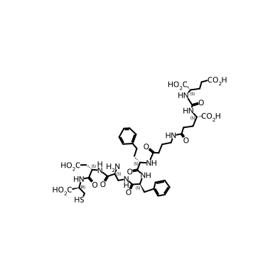 N[C@@H](CNC(=O)[C@H](Cc1ccccc1)NC(=O)[C@H](CCc1ccccc1)NC(=O)CCCNC(=O)CC[C@H](NC(=O)N[C@@H](CCC(=O)O)C(=O)O)C(=O)O)C(=O)N[C@@H](CC(=O)O)C(=O)N[C@@H](CS)C(=O)O